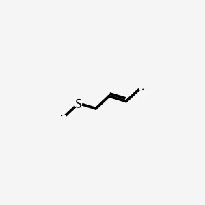 [CH2]C=CCS[CH2]